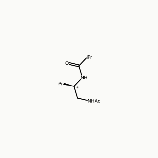 CC(=O)NC[C@H](NC(=O)C(C)C)C(C)C